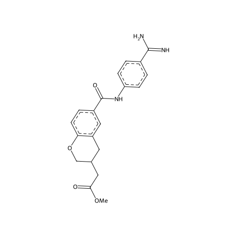 COC(=O)CC1COc2ccc(C(=O)Nc3ccc(C(=N)N)cc3)cc2C1